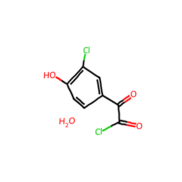 O.O=C(Cl)C(=O)c1ccc(O)c(Cl)c1